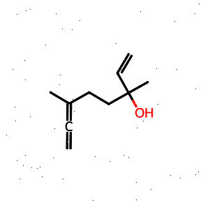 C=C=C(C)CCC(C)(O)C=C